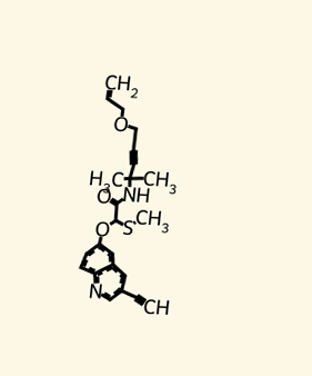 C#Cc1cnc2ccc(OC(SC)C(=O)NC(C)(C)C#CCOCC=C)cc2c1